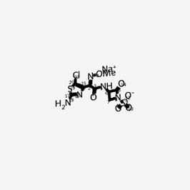 CON=C(C(=O)NC1CN(S(=O)(=O)[O-])C1=O)c1nc(N)sc1Cl.[Na+]